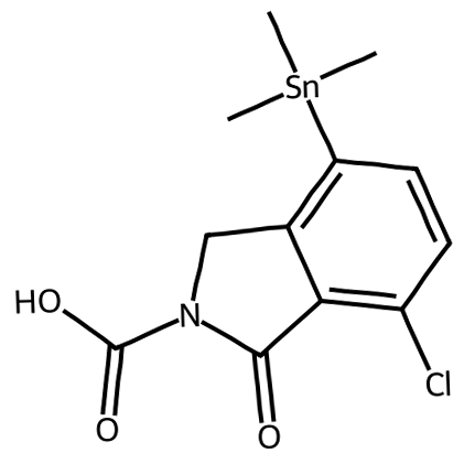 [CH3][Sn]([CH3])([CH3])[c]1ccc(Cl)c2c1CN(C(=O)O)C2=O